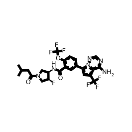 CC(C)CC(=O)N1C[C@H](F)[C@H](NC(=O)c2cc(-c3cc(C(F)(F)F)c4c(N)ncnn34)ccc2OC(F)(F)F)C1